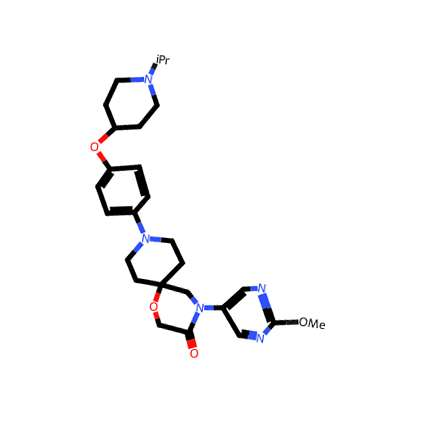 COc1ncc(N2CC3(CCN(c4ccc(OC5CCN(C(C)C)CC5)cc4)CC3)OCC2=O)cn1